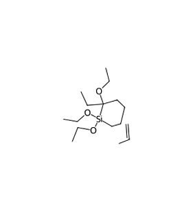 C=CC.CCOC1(CC)CCCC[Si]1(OCC)OCC